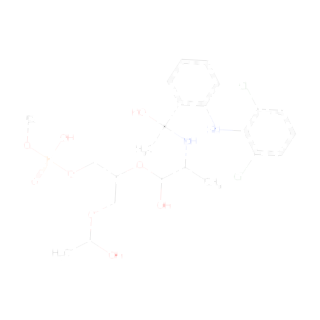 CCOP(=O)(O)OCC(COC(C)O)OC(O)C(C)NC(C)(O)c1ccccc1Nc1c(Cl)cccc1Cl